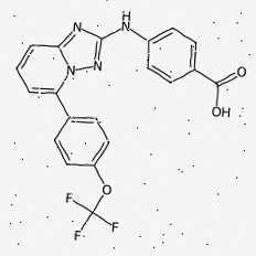 O=C(O)c1ccc(Nc2nc3cccc(-c4ccc(OC(F)(F)F)cc4)n3n2)cc1